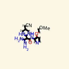 COCCOc1ccncc1NC(=O)C(C(N)N)C1NCC(CC#N)CN1